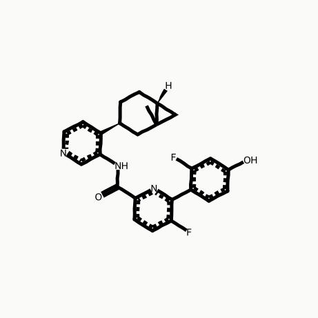 CC12C[C@@H](c3ccncc3NC(=O)c3ccc(F)c(-c4ccc(O)cc4F)n3)CC[C@@H]1C2